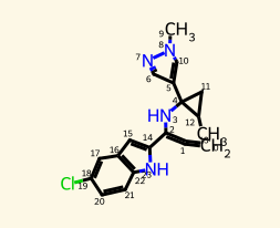 C=C=C(NC1(c2cnn(C)c2)CC1C)c1cc2cc(Cl)ccc2[nH]1